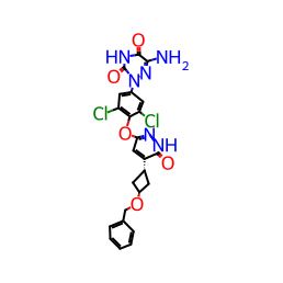 Nc1nn(-c2cc(Cl)c(Oc3cc([C@H]4C[C@H](OCc5ccccc5)C4)c(=O)[nH]n3)c(Cl)c2)c(=O)[nH]c1=O